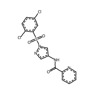 O=C(Nc1cnn(S(=O)(=O)c2cc(Cl)ccc2Cl)c1)c1ccccn1